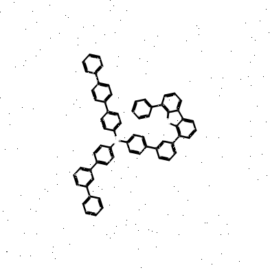 c1ccc(-c2ccc(-c3ccc(N(c4ccc(-c5cccc(-c6ccccc6)c5)cc4)c4ccc(-c5cccc(-c6cccc7c6sc6c(-c8ccccc8)cccc67)c5)cc4)cc3)cc2)cc1